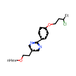 CCCCCCOCCc1cnc(-c2ccc(OCCC(Cl)CC)cc2)nc1